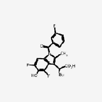 CC[C@H](C)C(C(=O)O)c1c(C)n(C(=O)c2cccc(F)c2)c2cc(F)c(O)c(F)c12